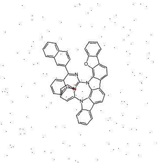 c1ccc(-n2c3ccccc3c3ccc4c5ccc6c7ccccc7oc6c5n(-c5nc(-c6ccc7ccccc7c6)c6ccccc6n5)c4c32)cc1